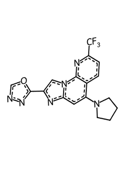 FC(F)(F)c1ccc2c(N3CCCC3)cc3nc(-c4nnco4)cn3c2n1